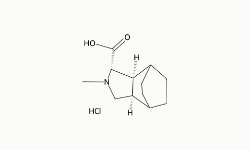 CN1C[C@@H]2C3CCC(CC3)[C@@H]2[C@H]1C(=O)O.Cl